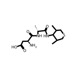 CC1CSCC(C)C1NC(=O)[C@@H](C)NC(=O)[C@@H](N)CC(=O)O